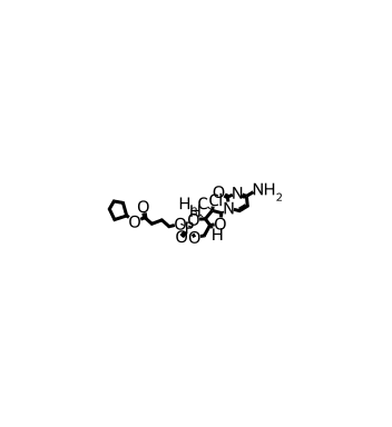 C[C@@]1(Cl)[C@@H]2O[P@@](=O)(OCCCC(=O)OC3CCCC3)OC[C@H]2O[C@H]1n1ccc(N)nc1=O